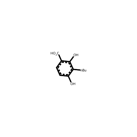 CCCCc1c(O)ccc(C(=O)O)c1O